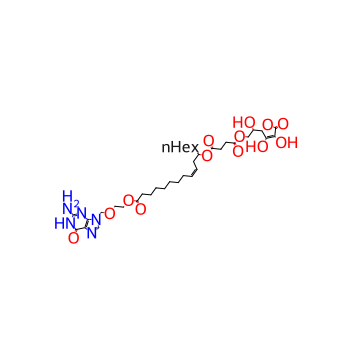 CCCCCC[C@H](C/C=C\CCCCCCCC(=O)OCCOCn1cnc2c(=O)[nH]c(N)nc21)OC(=O)CCC(=O)OCC(O)C1OC(=O)C(O)=C1O